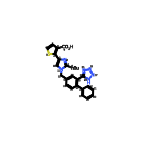 CCCCc1nc(-c2sccc2C(=O)O)cn1Cc1ccc(-c2ccccc2)c(-c2nnn[nH]2)c1